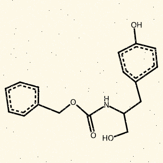 O=C(NC(CO)Cc1ccc(O)cc1)OCc1ccccc1